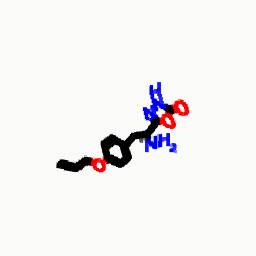 C=CCOc1ccc(C[C@H](N)c2n[nH]c(=O)o2)cc1